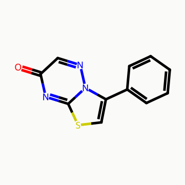 O=c1cnn2c(-c3ccccc3)csc2n1